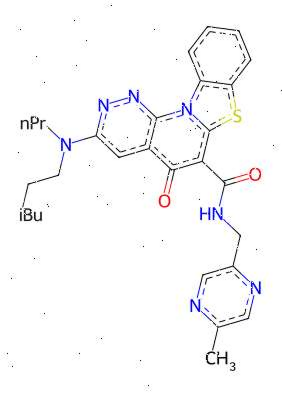 CCCN(CCC(C)CC)c1cc2c(=O)c(C(=O)NCc3cnc(C)cn3)c3sc4ccccc4n3c2nn1